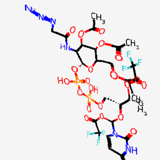 CC(=O)OCC1O[C@H](OP(=O)(O)OP(=O)(O)OC[C@@H](OC(OC(=O)C(F)(F)F)n2ccc(=O)[nH]c2=O)[C@@H](C)OC(=O)C(F)(F)F)C(NC(=O)CN=[N+]=[N-])[C@@H](OC(C)=O)[C@H]1OC(C)=O